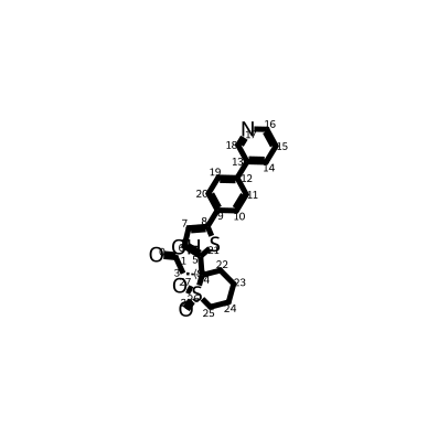 O=C(O)C[C@]1(c2ccc(-c3ccc(-c4cccnc4)cc3)s2)CCCCS1(=O)=O